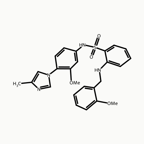 COc1ccccc1CNc1ccccc1S(=O)(=O)Nc1ccc(-n2cnc(C)c2)c(OC)c1